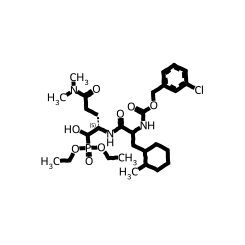 CCOP(=O)(OCC)C(O)[C@H](CCC(=O)N(C)C)NC(=O)C(CC1CCCCC1C)NC(=O)OCc1cccc(Cl)c1